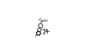 Cc1ccc2c(c1)CC1(CCN(C(=O)O)CC1)[C@@H]2N[S@+]([O-])C(C)(C)C